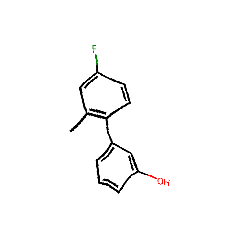 Cc1cc(F)ccc1-c1cccc(O)c1